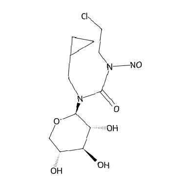 O=NN(CCCl)C(=O)N(CC1CC1)[C@@H]1OC[C@@H](O)[C@H](O)[C@H]1O